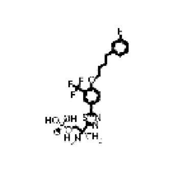 C[C@](N)(COP(=O)(O)O)c1nnc(-c2ccc(OCCCCc3cccc(F)c3)c(C(F)(F)F)c2)s1